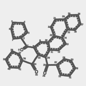 O=C(c1ccccc1)c1cc2c(ccc3c4ccccc4ccc23)c(C(=O)c2ccccc2)c1C(=O)c1ccccc1